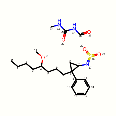 CCCCC(CCCC1(c2ccccc2)CC1N=S(=O)=O)OC.CNC(=O)NC=O